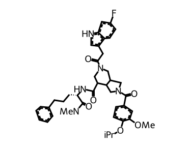 CNC(=O)[C@H](CCCc1ccccc1)NC(=O)C1CN(C(=O)Cc2c[nH]c3cc(F)ccc23)CC2CN(C(=O)c3ccc(OC(C)C)c(OC)c3)CC21